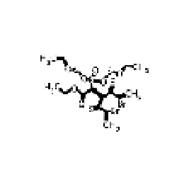 C=C(Br)C(=S)C(C(=S)C(=C)Br)=C(C(=O)OCC)P(=O)(OSOCC)OSOCC